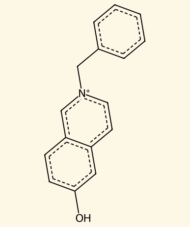 Oc1ccc2c[n+](Cc3ccccc3)ccc2c1